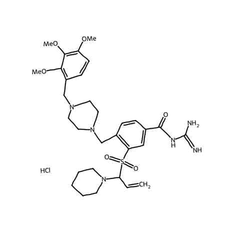 C=CC(N1CCCCC1)S(=O)(=O)c1cc(C(=O)NC(=N)N)ccc1CN1CCN(Cc2ccc(OC)c(OC)c2OC)CC1.Cl